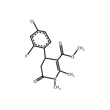 COC(=O)C1=C(C)N(C)C(=O)CC1c1ccc(Cl)cc1F